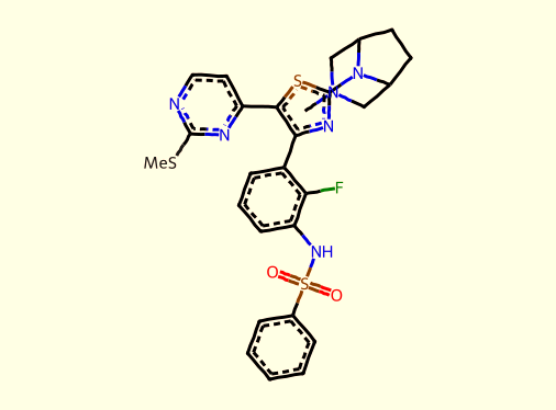 CSc1nccc(-c2sc(N3C4CCC3CN(C)C4)nc2-c2cccc(NS(=O)(=O)c3ccccc3)c2F)n1